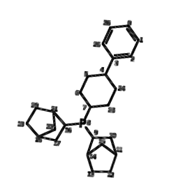 c1ccc(C2CCC(P(C3CC4CCC3C4)C3CC4CCC3C4)CC2)cc1